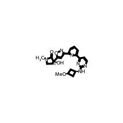 CO[C@H]1C[C@@H](Nc2nccc(-c3cccc(-c4cc([C@]5(O)CCN(C)C5=O)on4)n3)n2)C1